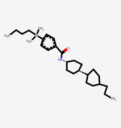 CCCC[Si](C)(C)c1ccc(C(=O)N[C@H]2CC[C@H](C3CCC(CCC)CC3)CC2)cc1